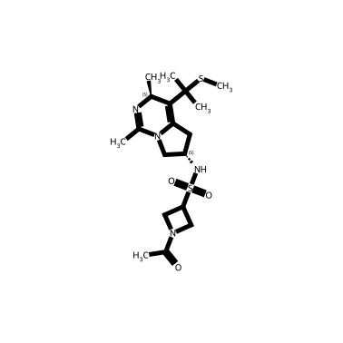 CSC(C)(C)C1=C2C[C@H](NS(=O)(=O)C3CN(C(C)=O)C3)CN2C(C)=N[C@H]1C